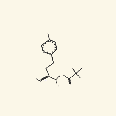 NC(OC(=O)C(F)(F)F)/C(=C/Cl)CCc1ccc(F)cc1